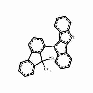 CC1(C)c2ccccc2-c2cccc(-n3c4ccccc4c4oc5ccccc5c43)c21